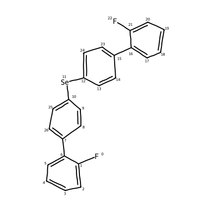 Fc1ccccc1-c1ccc([Se]c2ccc(-c3ccccc3F)cc2)cc1